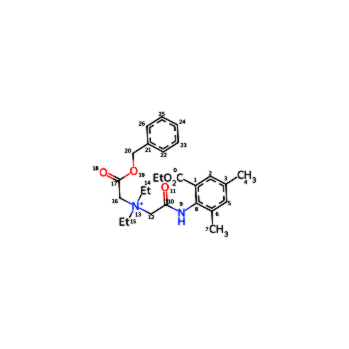 CCOC(=O)c1cc(C)cc(C)c1NC(=O)C[N+](CC)(CC)CC(=O)OCc1ccccc1